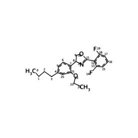 CCCCc1ccc(C2COC(c3c(F)cccc3F)=N2)c(OCC)c1